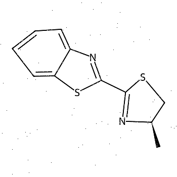 C[C@@H]1CSC(c2nc3ccccc3s2)=N1